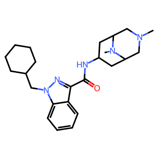 CN1CC2CC(NC(=O)c3nn(CC4CCCCC4)c4ccccc34)CC(C1)N2C